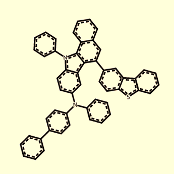 c1ccc(-c2ccc(N(c3ccccc3)c3ccc4c(c3)c3c(-c5ccc6sc7ccccc7c6c5)cc5ccccc5c3n4-c3ccccc3)cc2)cc1